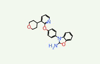 NC1Oc2ccccc2N1c1ccc(Oc2ncccc2C2CCOCC2)cc1